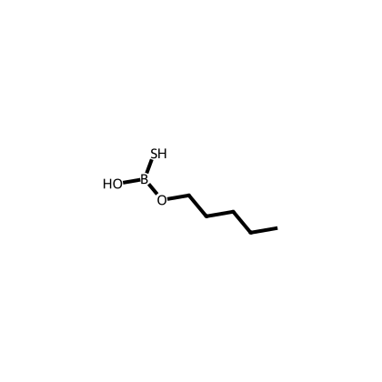 CCCCCOB(O)S